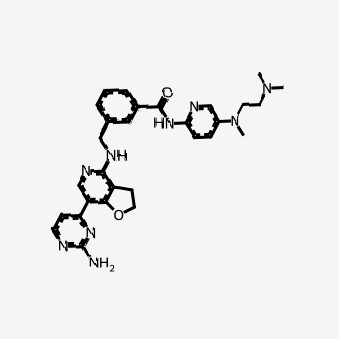 CN(C)CCN(C)c1ccc(NC(=O)c2cccc(CNc3ncc(-c4ccnc(N)n4)c4c3CCO4)c2)nc1